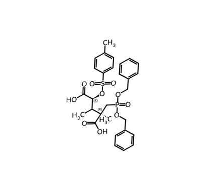 Cc1ccc(S(=O)(=O)O[C@H](C(=O)O)C(C)[C@@](C)(CP(=O)(OCc2ccccc2)OCc2ccccc2)C(=O)O)cc1